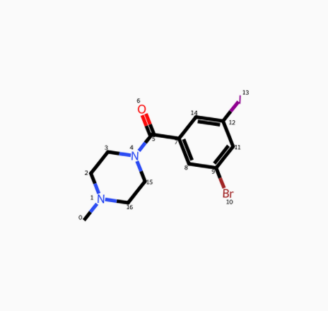 CN1CCN(C(=O)c2cc(Br)cc(I)c2)CC1